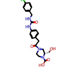 O=C(NCc1ccc(Cl)cc1)Nc1ccc(CC(=O)N2CCN(C(=O)O)[C@@H](CO)C2)cc1